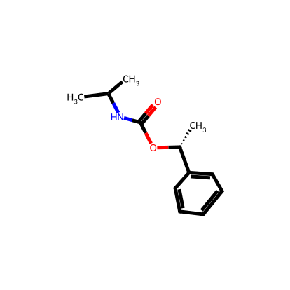 CC(C)NC(=O)O[C@H](C)c1ccccc1